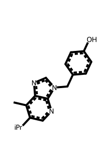 Cc1c(C(C)C)cnc2c1ncn2Cc1ccc(O)cc1